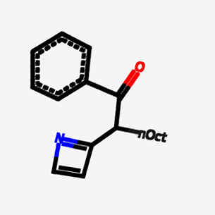 CCCCCCCCC(C(=O)c1ccccc1)C1=NC=C1